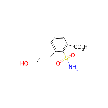 NS(=O)(=O)c1c(CCCO)cccc1C(=O)O